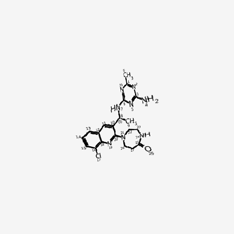 Cc1nc(N)nc(N[C@@H](C)c2cc3cccc(Cl)c3nc2N2CCNC(=O)CC2)n1